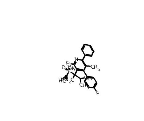 C#CP(=O)(OC)C(C(=O)O)(c1c(CC)nc(-c2ccccc2)c(C)c1-c1ccc(F)cc1)C(C)O